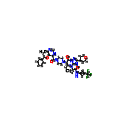 CCc1c(N2CCN(C(=O)c3ncnc(C)c3OCc3ccccc3)CC2)c(=O)n2nc(C3=CCOCC3)nc2n1CC(=O)NC12CC(C(F)(F)F)(C1)C2